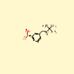 CC(C)(C)BCc1cccc(B(O)O)c1